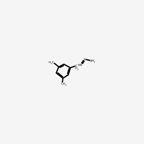 Cc1cc(C)cc(C)c1.N=NN